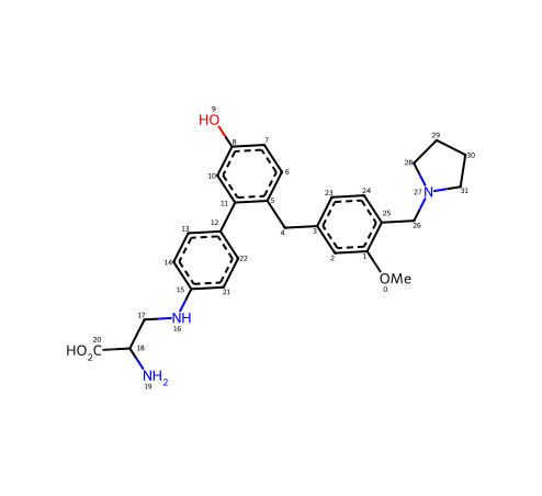 COc1cc(Cc2ccc(O)cc2-c2ccc(NCC(N)C(=O)O)cc2)ccc1CN1CCCC1